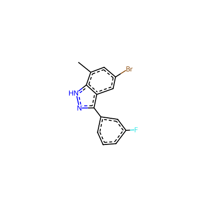 Cc1cc(Br)cc2c(-c3cccc(F)c3)n[nH]c12